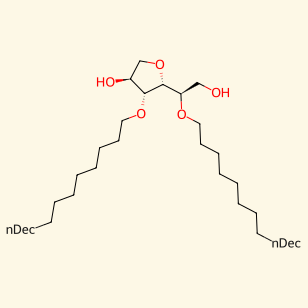 CCCCCCCCCCCCCCCCCCO[C@H]1[C@@H]([C@@H](CO)OCCCCCCCCCCCCCCCCCC)OC[C@@H]1O